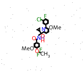 COc1cc(C(=O)NCC(O)(c2ccc(OC)c(-c3ccc(F)c(Cl)c3)n2)C2CC2)ccc1OC(C)(F)F